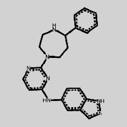 c1ccc(C2CCN(c3nccc(Nc4ccc5[nH]ncc5c4)n3)CCN2)cc1